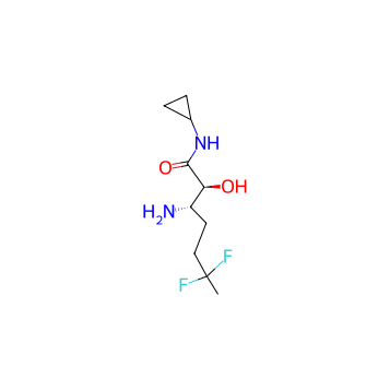 CC(F)(F)CC[C@H](N)[C@H](O)C(=O)NC1CC1